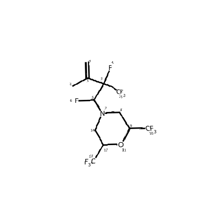 C=C(C)C(F)(C(F)N1CC(C(F)(F)F)OC(C(F)(F)F)C1)C(F)(F)F